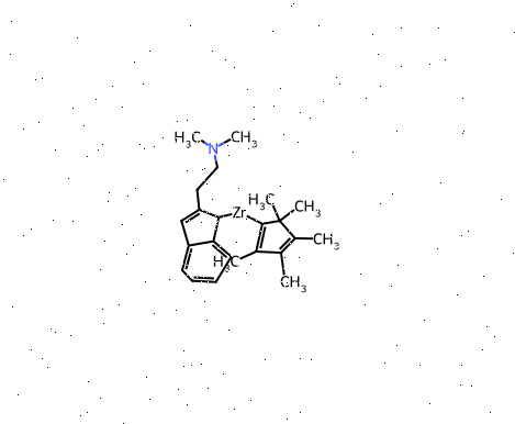 CC1=C(C)C(C)(C)[C]([Zr][CH]2C(CCN(C)C)=Cc3ccccc32)=C1C